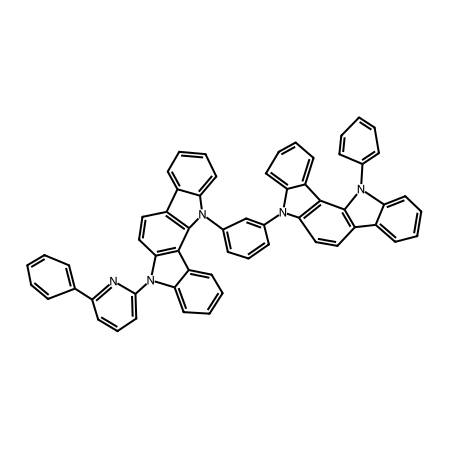 c1ccc(-c2cccc(-n3c4ccccc4c4c3ccc3c5ccccc5n(-c5cccc(-n6c7ccccc7c7c6ccc6c8ccccc8n(-c8ccccc8)c67)c5)c34)n2)cc1